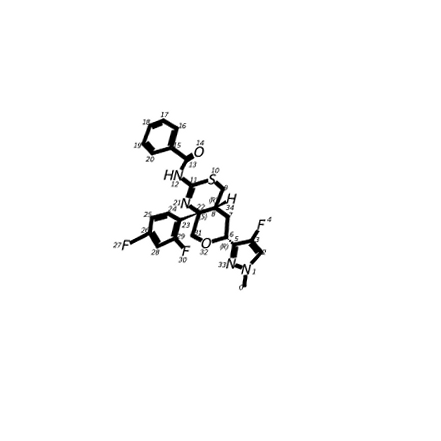 Cn1cc(F)c([C@H]2C[C@H]3CSC(NC(=O)c4ccccc4)=N[C@@]3(c3ccc(F)cc3F)CO2)n1